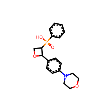 O=P(O)(c1ccccc1)C1COC1c1ccc(N2CCOCC2)cc1